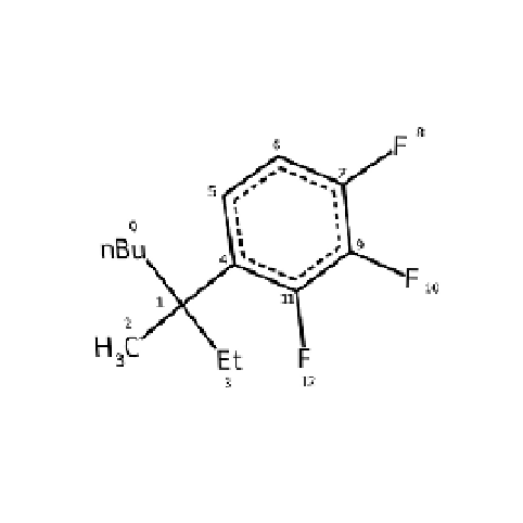 CCCCC(C)(CC)c1ccc(F)c(F)c1F